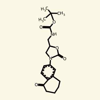 CC(C)(C)OC(=O)NCC1CN(c2ccc3c(c2)CCCCC3=O)C(=O)O1